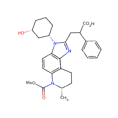 COC(=O)N1c2ccc3c(nc(CC(C(=O)O)c4ccccc4)n3[C@H]3CCC[C@@H](O)C3)c2CC[C@@H]1C